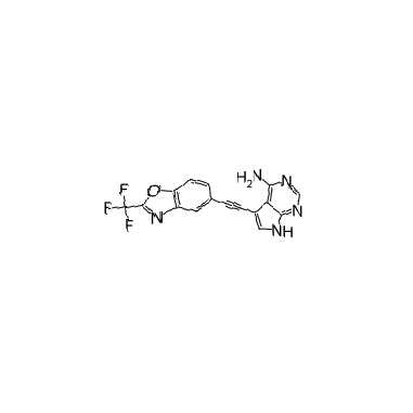 Nc1ncnc2[nH]cc(C#Cc3ccc4oc(C(F)(F)F)nc4c3)c12